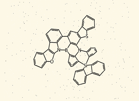 c1ccc2c(c1)-c1ccccc1[Si]21c2ccccc2N2c3c(cccc31)B1c3c(cc4c(sc5ccccc54)c32)-c2cccc3c4c5ccccc5oc4n1c23